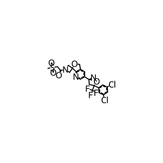 CS(=O)(=O)CC(=O)N1CC2(C1)OCc1cc(C3=NOC(c4cc(Cl)cc(Cl)c4)(C(F)(F)F)C3)cnc12